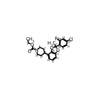 CCOC(=O)N1CCC(c2cccc3c2OC(C)(c2ccc(Cl)cc2F)O3)CC1